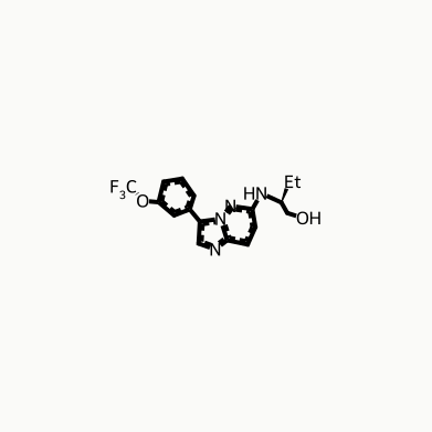 CC[C@@H](CO)Nc1ccc2ncc(-c3cccc(OC(F)(F)F)c3)n2n1